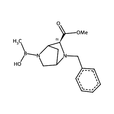 COC(=O)[C@@H]1C2CC(CN2B(C)O)N1Cc1ccccc1